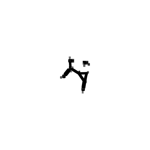 N.O=C1CC1[N+](=O)O